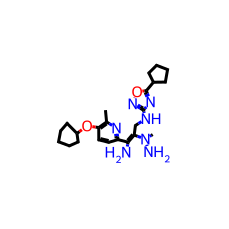 Cc1nc(/C(N)=C(\CNc2noc(C3CCCC3)n2)N(C)N)ccc1OC1CCCCC1